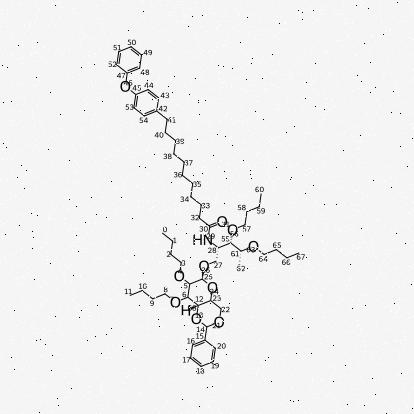 CCCCOC1C(OCCCC)[C@H]2OC(c3ccccc3)OCC2O[C@@H]1OC[C@H](NC(=O)CCCCCCCCCCc1ccc(Oc2ccccc2)cc1)[C@H](OCCCC)[C@@H](C)OCCCC